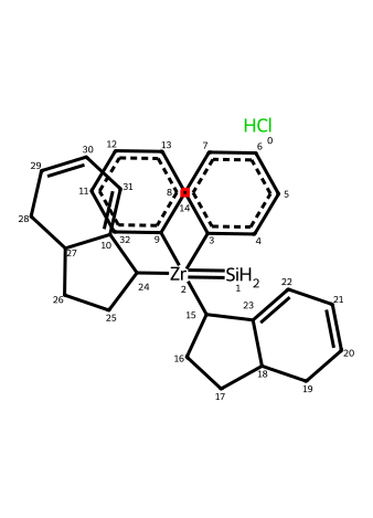 Cl.[SiH2]=[Zr]([c]1ccccc1)([c]1ccccc1)([CH]1CCC2CC=CC=C21)[CH]1CCC2CC=CC=C21